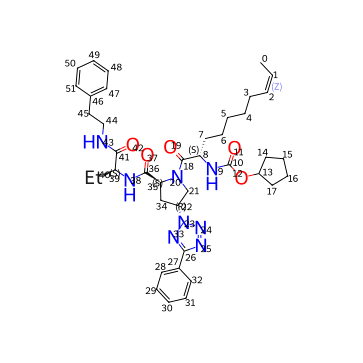 C/C=C\CCCCC[C@H](NC(=O)OC1CCCC1)C(=O)N1C[C@H](n2nnc(-c3ccccc3)n2)C[C@H]1C(=O)N[C@@H](CC)C(=O)NCCc1ccccc1